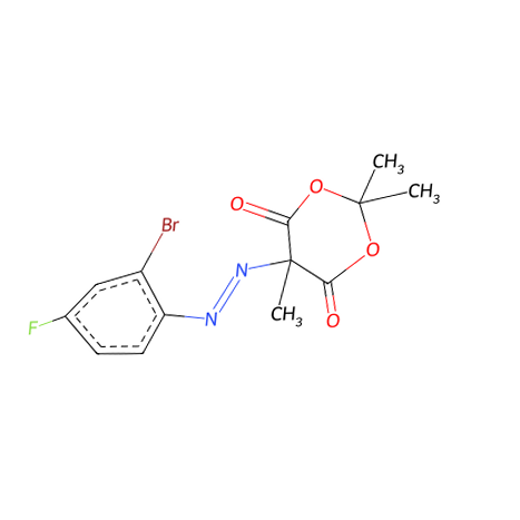 CC1(C)OC(=O)C(C)(N=Nc2ccc(F)cc2Br)C(=O)O1